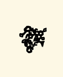 Cc1cc(Cl)cc(C(=O)NC(C)C2CC2)c1NC(=O)C1CC(S(=O)(=O)Oc2cccnc2)=NN1c1ncccc1Cl